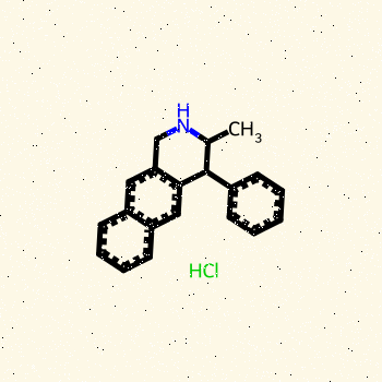 CC1NCc2cc3ccccc3cc2C1c1ccccc1.Cl